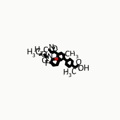 CCOC(=O)N(c1ccccc1F)c1c(C)noc1-c1ccc(-c2ccc(C(C)C(=O)O)cc2)c(C)c1